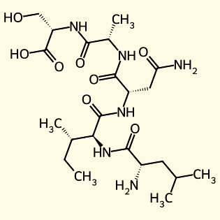 CC[C@H](C)[C@H](NC(=O)[C@@H](N)CC(C)C)C(=O)N[C@@H](CC(N)=O)C(=O)N[C@@H](C)C(=O)N[C@@H](CO)C(=O)O